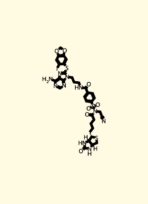 N#CCN(C(=O)CCCC[C@@H]1SC[C@@H]2NC(=O)N[C@@H]21)S(=O)(=O)c1ccc(C(=O)NCCCn2c(Sc3cc4c(cc3I)OCO4)nc3c(N)ncnc32)cc1